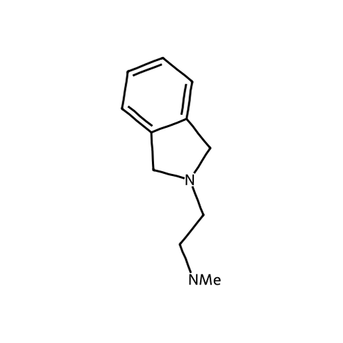 CNCCN1Cc2ccccc2C1